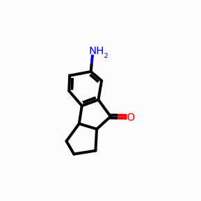 Nc1ccc2c(c1)C(=O)C1CCCC21